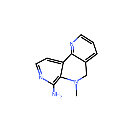 CN1Cc2cccnc2-c2ccnc(N)c21